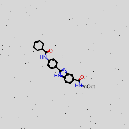 CCCCCCCCNC(=O)c1ccc2[nH]c(-c3ccc(NC(=O)C4CC=CCC4)cc3)nc2c1